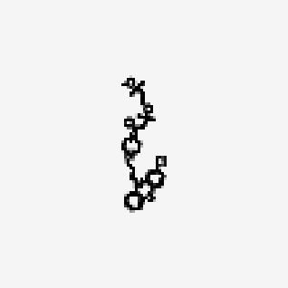 COC(C)(C)CCOC(C)(C)CC(=O)N1CCN(CCCN2c3ccccc3Sc3ccc(Cl)cc32)CC1